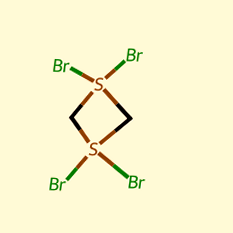 BrS1(Br)CS(Br)(Br)C1